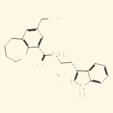 O=C(N[C@@H](CO)Cc1c[nH]c2ccccc12)c1cc(CO)cc2c1OCCCC2